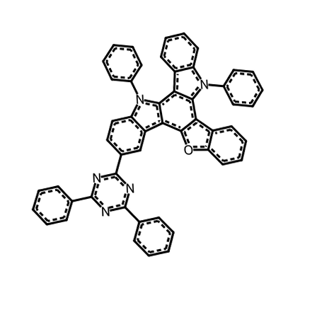 c1ccc(-c2nc(-c3ccccc3)nc(-c3ccc4c(c3)c3c5oc6ccccc6c5c5c(c6ccccc6n5-c5ccccc5)c3n4-c3ccccc3)n2)cc1